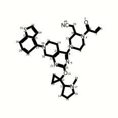 C=CC(=O)N1CCN(c2nc(OC3(C4CCCN4C)CC3)nc3c2CCN(c2cccc4sccc24)C3)CC1CC#N